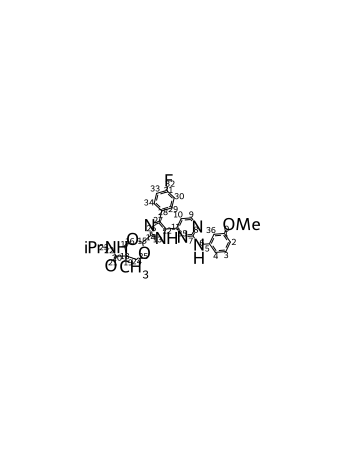 COc1cccc(Nc2nccc(-c3[nH]c(C4OCC(C)(C(=O)NC(C)C)CO4)nc3-c3ccc(F)cc3)n2)c1